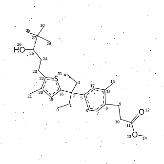 CCC(CC)(c1ccc(CCC(=O)OC)c(C)c1)c1cc(C)c(CCC(O)C(C)(C)C)s1